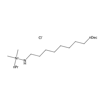 CCCCCCCCCCCCCCCCCCN[N+](C)(C)CCC.[Cl-]